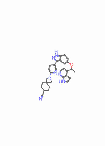 CC(Oc1ccc2[nH]nc(-c3ccc(N4CC5(CCC(C#N)CC5)C4)nc3)c2c1)c1ccnc2[nH]ccc12